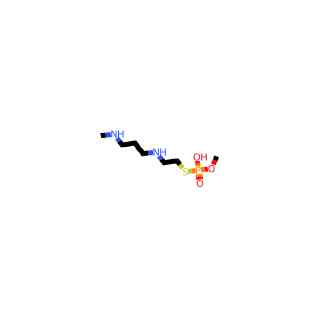 CNCCCNCCSP(=O)(O)OC